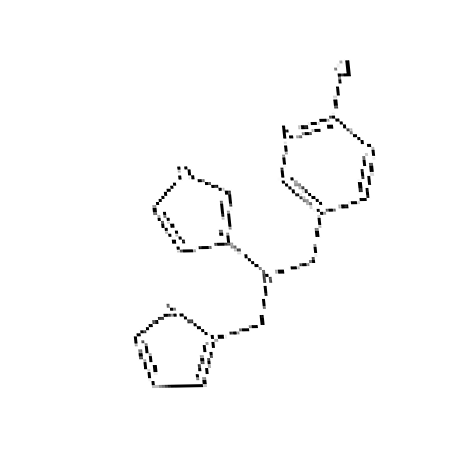 Clc1ccc(CN(Cc2cccs2)c2ccoc2)cn1